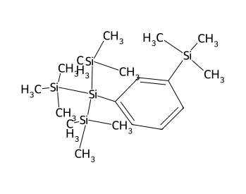 C[Si](C)(C)c1cccc([Si]([Si](C)(C)C)([Si](C)(C)C)[Si](C)(C)C)c1